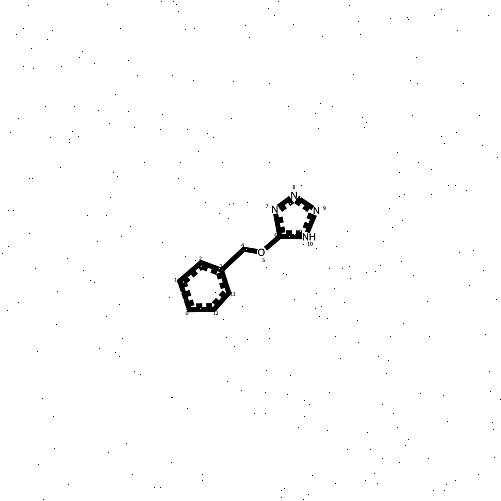 c1ccc(COc2nnn[nH]2)cc1